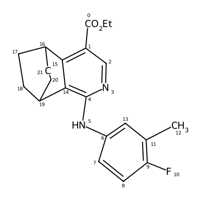 CCOC(=O)c1cnc(Nc2ccc(F)c(C)c2)c2c1C1CCC2CC1